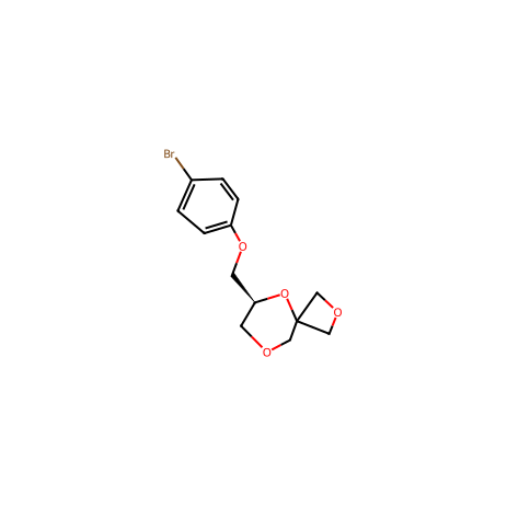 Brc1ccc(OC[C@@H]2COCC3(COC3)O2)cc1